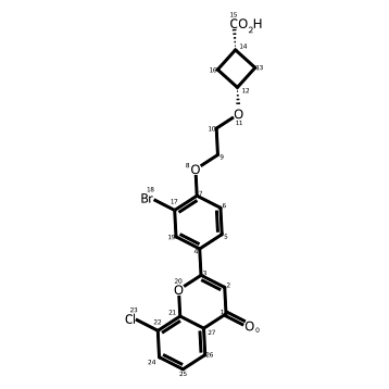 O=c1cc(-c2ccc(OCCO[C@H]3C[C@@H](C(=O)O)C3)c(Br)c2)oc2c(Cl)cccc12